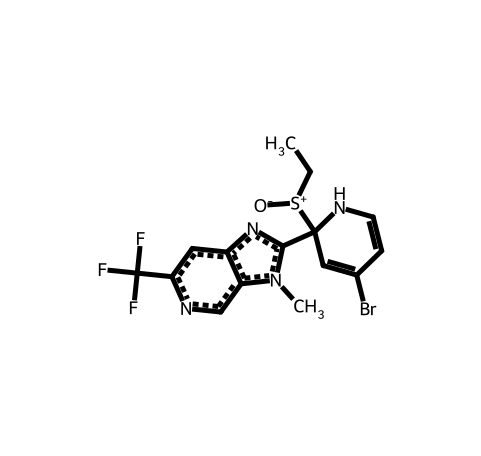 CC[S+]([O-])C1(c2nc3cc(C(F)(F)F)ncc3n2C)C=C(Br)C=CN1